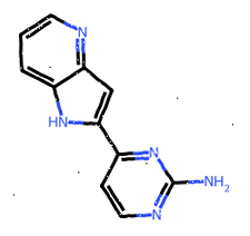 Nc1nccc(-c2cc3ncccc3[nH]2)n1